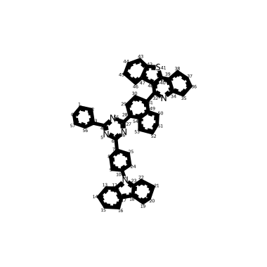 c1ccc(-c2nc(-c3ccc(-n4c5ccccc5c5ccccc54)cc3)nc(-c3ccc(-c4nc5ccccc5c5sc6ccccc6c45)c4ccccc34)n2)cc1